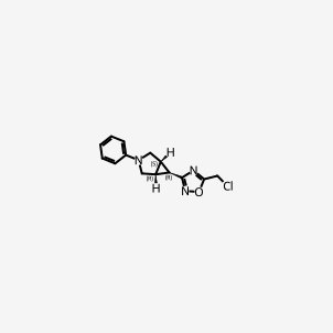 ClCc1nc([C@H]2[C@@H]3CN(c4ccccc4)C[C@@H]32)no1